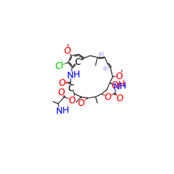 CNC(C)C(=O)OC1CC(=O)Nc2cc(cc(OC)c2Cl)C/C(C)=C/C=C/C(OC)C2(O)CC(OC(=O)N2)C(C)C2OC12C